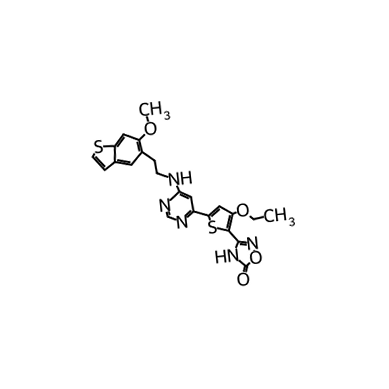 CCOc1cc(-c2cc(NCCc3cc4ccsc4cc3OC)ncn2)sc1-c1noc(=O)[nH]1